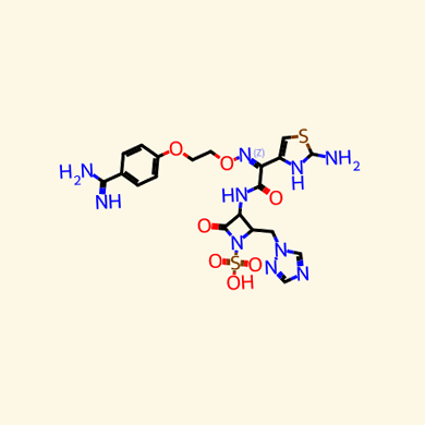 N=C(N)c1ccc(OCCO/N=C(\C(=O)NC2C(=O)N(S(=O)(=O)O)C2Cn2cncn2)C2=CSC(N)N2)cc1